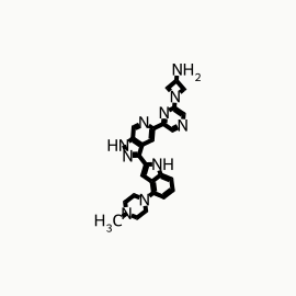 CN1CCN(c2cccc3[nH]c(-c4n[nH]c5cnc(-c6cncc(N7CC(N)C7)n6)cc45)cc23)CC1